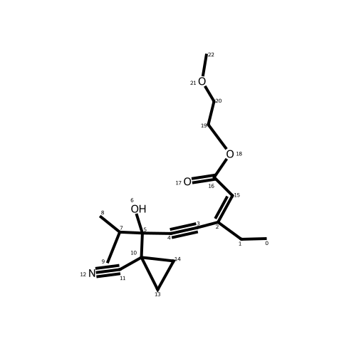 CC/C(C#CC(O)(C(C)C)C1(C#N)CC1)=C/C(=O)OCCOC